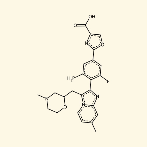 Cc1ccn2c(CC3CN(C)CCO3)c(-c3c(F)cc(-c4nc(C(=O)O)co4)cc3P)nc2c1